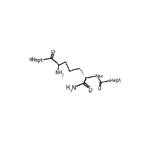 CCCCCCCC(=O)N[C@@H](CCCC(N)C(=O)CCCCCCC)C(N)=O